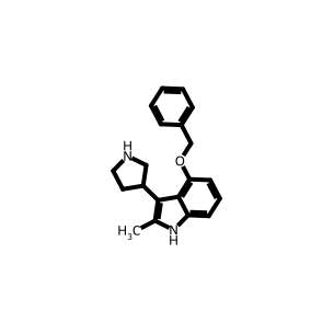 Cc1[nH]c2cccc(OCc3ccccc3)c2c1C1CCNC1